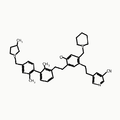 Cc1cc(CN2CCC(C)C2)ccc1-c1cccc(CCc2cc(CCc3cncc(C#N)c3)c(CN3CCCCC3)cc2Cl)c1C